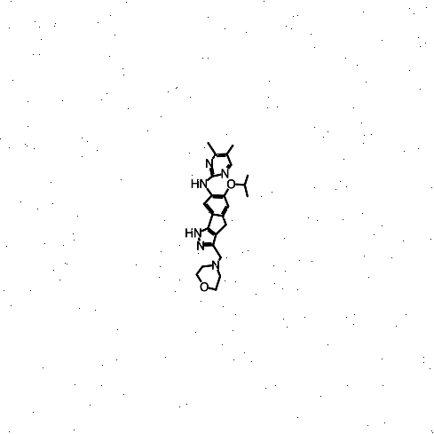 Cc1cnc(Nc2cc3c(cc2OC(C)C)Cc2c(CN4CCOCC4)n[nH]c2-3)nc1C